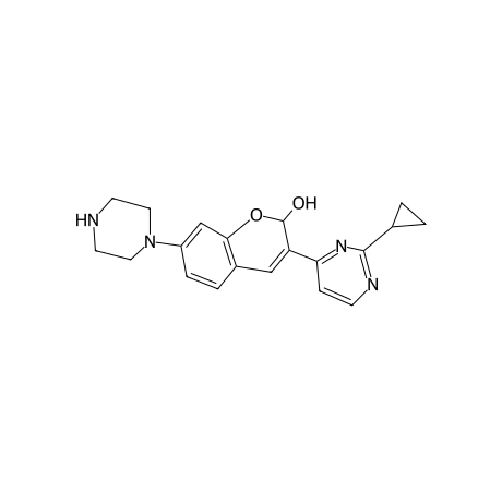 OC1Oc2cc(N3CCNCC3)ccc2C=C1c1ccnc(C2CC2)n1